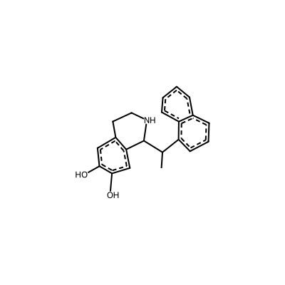 CC(c1cccc2ccccc12)C1NCCc2cc(O)c(O)cc21